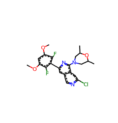 COc1cc(OC)c(F)c(-c2cc3cnc(Cl)cc3c(N3CC(C)OC(C)C3)n2)c1F